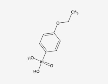 CCOc1ccc([As](=O)(O)O)cc1